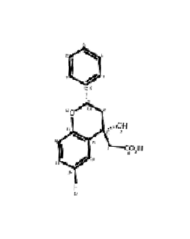 O=C(O)C[C@]1(O)C[C@@H](c2ccccc2)Oc2ccc(F)cc21